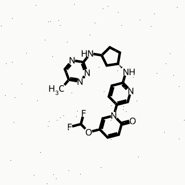 Cc1cnc(NC2CC[C@H](Nc3ccc(-n4cc(OC(F)F)ccc4=O)cn3)C2)nn1